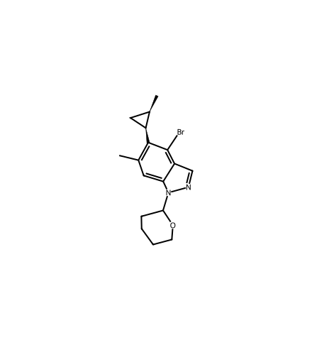 Cc1cc2c(cnn2C2CCCCO2)c(Br)c1[C@H]1C[C@H]1C